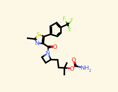 Cc1nc(C(=O)N2CCC2CCC(C)(C)OC(N)=O)c(-c2ccc(C(F)(F)F)cc2)s1